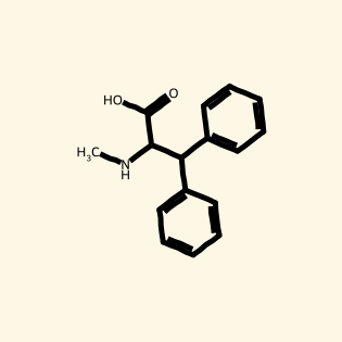 CNC(C(=O)O)C(c1ccccc1)c1ccccc1